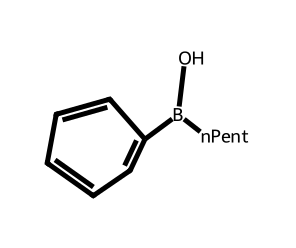 CCCCCB(O)c1ccccc1